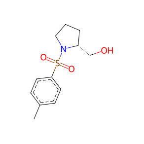 Cc1ccc(S(=O)(=O)N2CCC[C@@H]2CO)cc1